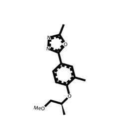 COC[C@H](C)Oc1ccc(-c2nnc(C)o2)cc1C